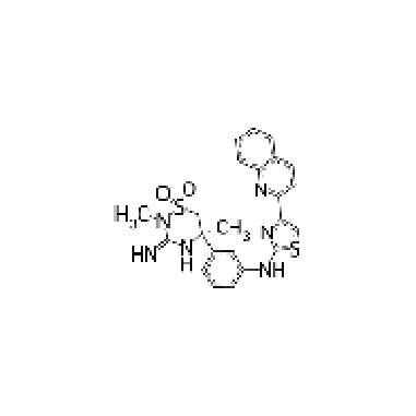 CN1C(=N)N[C@](C)(c2cccc(Nc3nc(-c4ccc5ccccc5n4)cs3)c2)CS1(=O)=O